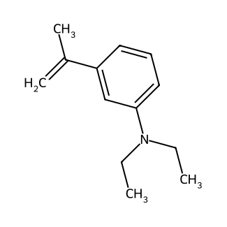 C=C(C)c1cccc(N(CC)CC)c1